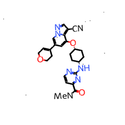 CNC(=O)c1ccnc(N[C@H]2CC[C@@H](Oc3cc(C4=CCOCC4)cn4ncc(C#N)c34)CC2)n1